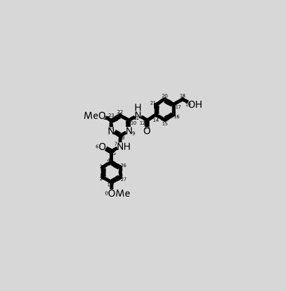 COc1ccc(C(=O)Nc2nc(NC(=O)c3ccc(CO)cc3)cc(OC)n2)cc1